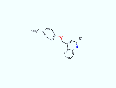 CCc1cc(COc2ccc(C(=O)O)cc2)c2ccccc2n1